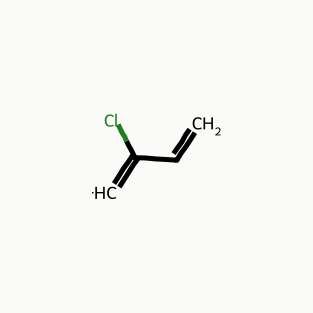 [CH]=C(Cl)C=C